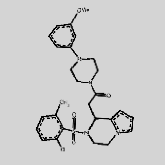 COc1cccc(N2CCN(C(=O)CC3c4cccn4CCN3S(=O)(=O)c3c(C)cccc3Cl)CC2)c1